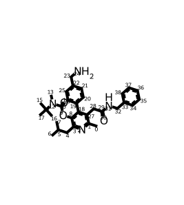 Cc1nc(CC(C)C)c(OC(=O)N(C)C(C)(C)C)c(-c2ccc(CN)cc2)c1CC(=O)NCc1ccccc1